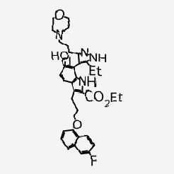 CCOC(=O)c1[nH]c2c(-c3c([C@H](O)CCN4CCOCC4)n[nH]c3CC)c(Cl)ccc2c1CCCOc1cccc2cc(F)ccc12